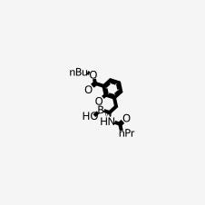 CCCCOC(=O)c1cccc2c1OB(O)[C@@H](NC(=O)CCC)C2